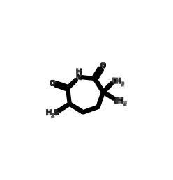 BC1CCC(B)(B)C(=O)NC1=O